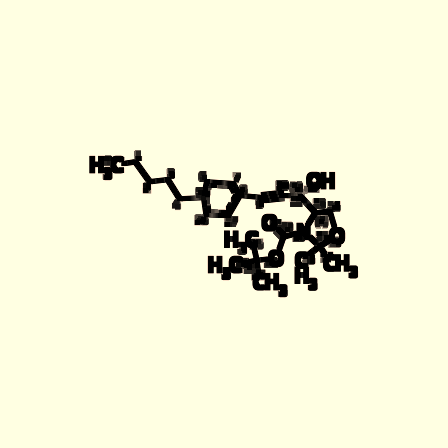 CCCCCc1ccc(C#C[C@H](O)[C@H]2COC(C)(C)N2C(=O)OC(C)(C)C)cc1